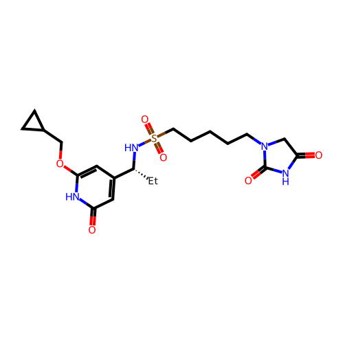 CC[C@@H](NS(=O)(=O)CCCCCN1CC(=O)NC1=O)c1cc(OCC2CC2)[nH]c(=O)c1